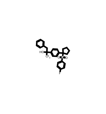 O=S(=O)(c1ccc(F)cc1)C1(c2ccc(C(O)(Cc3ccccc3)C(F)(F)F)cc2)CCCC1